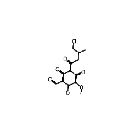 COC1C(=O)C(C=O)C(=O)C(C(=O)CC(C)CCl)C1=O